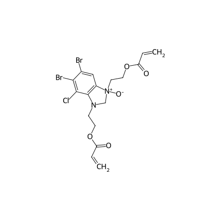 C=CC(=O)OCCN1C[N+]([O-])(CCOC(=O)C=C)c2cc(Br)c(Br)c(Cl)c21